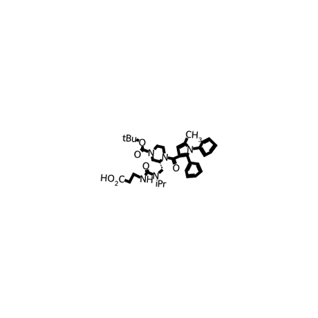 Cc1cc(C(=O)N2CCN(C(=O)OC(C)(C)C)C[C@H]2CN(C(=O)NCCC(=O)O)C(C)C)c(-c2ccccc2)n1-c1ccccc1